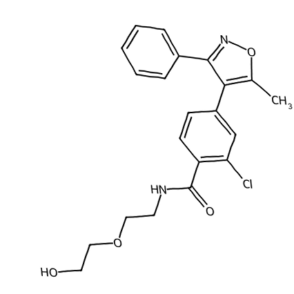 Cc1onc(-c2ccccc2)c1-c1ccc(C(=O)NCCOCCO)c(Cl)c1